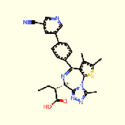 CCC(C(=O)O)[C@@H]1N=C(c2ccc(-c3cncc(C#N)c3)cc2)c2c(sc(C)c2C)-n2c(C)nnc21